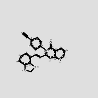 C#Cc1ccc(-n2c(C=Cc3cccc4c3OCO4)nc3ncccc3c2=O)cc1